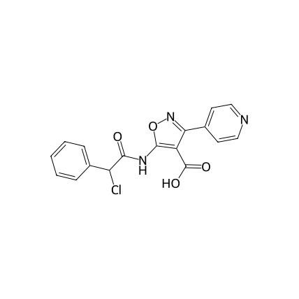 O=C(O)c1c(-c2ccncc2)noc1NC(=O)C(Cl)c1ccccc1